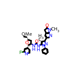 COCC[C@@H]1C[C@@H](NC(=O)Nc2c(C)c(-c3cnc4c(c3)CC(=O)N4C)nn2-c2ccccc2)[C@H](c2ccnc(F)c2)O1